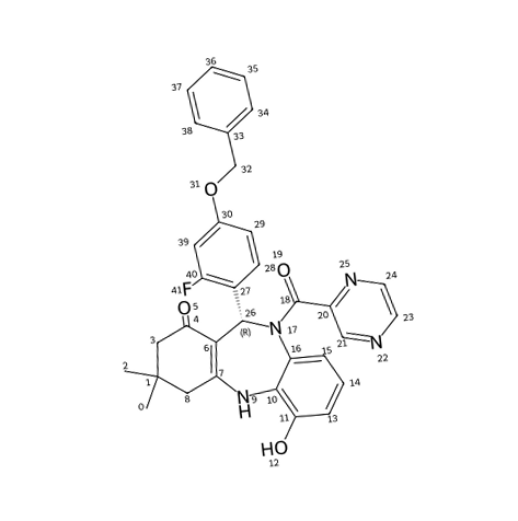 CC1(C)CC(=O)C2=C(C1)Nc1c(O)cccc1N(C(=O)c1cnccn1)[C@H]2c1ccc(OCc2ccccc2)cc1F